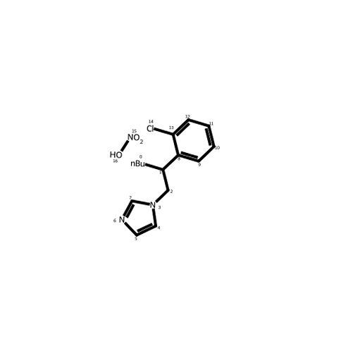 CCCCC(Cn1ccnc1)c1ccccc1Cl.O=[N+]([O-])O